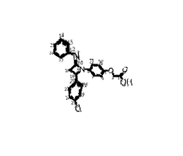 O=C(O)COc1ccc(N2C(=Nc3ccccc3)CC2c2ccc(Cl)cc2)cc1